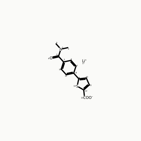 CN(C)C(=O)c1ccc(-c2ccc(C(=O)[O-])s2)cc1.[Li+]